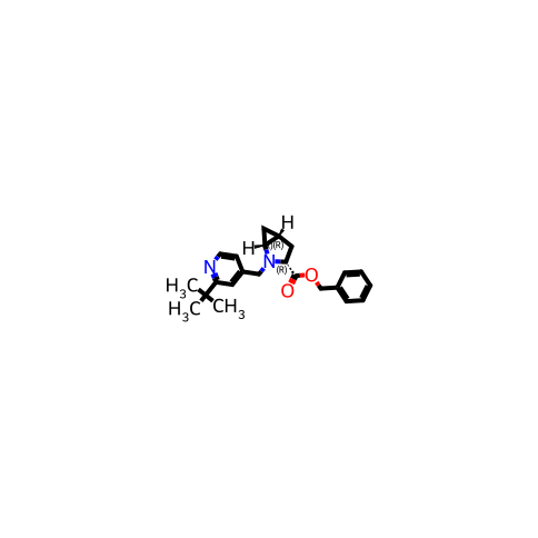 CC(C)(C)c1cc(CN2[C@@H](C(=O)OCc3ccccc3)C[C@H]3C[C@H]32)ccn1